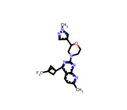 Cc1ccc2c(C34CC(C(F)(F)F)(C3)C4)nc(N3CCOC(c4cnn(C)c4)C3)nc2n1